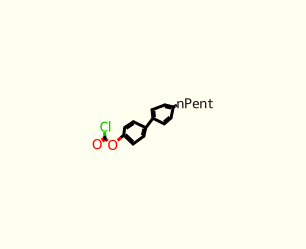 CCCCCc1ccc(-c2ccc(OC(=O)Cl)cc2)cc1